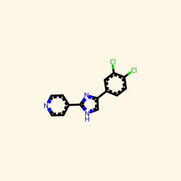 Clc1ccc(-c2c[nH]c(-c3ccncc3)n2)cc1Cl